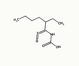 CCCCC(CC)C(NC(=O)O)=S=O